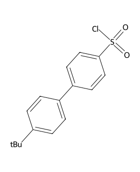 CC(C)(C)c1ccc(-c2ccc(S(=O)(=O)Cl)cc2)cc1